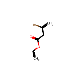 C=COC(=O)CC(=C)Br